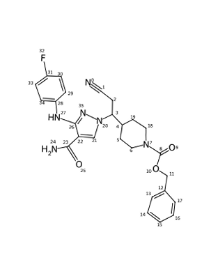 N#CCC(C1CCN(C(=O)OCc2ccccc2)CC1)n1cc(C(N)=O)c(Nc2ccc(F)cc2)n1